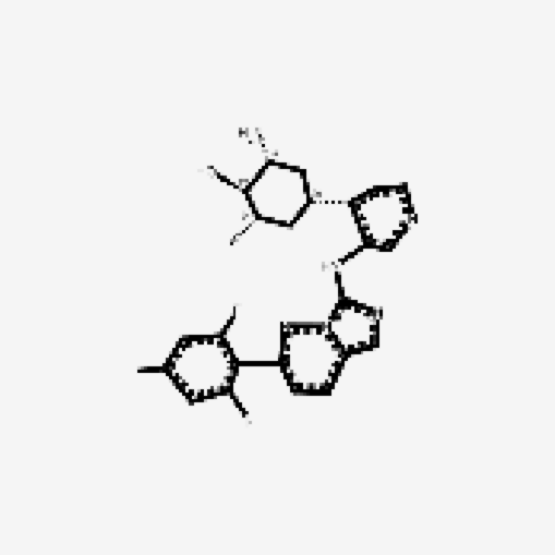 Cc1cc(F)c(-c2ccc3cnc(Nc4cnccc4[C@H]4C[C@@H](N)[C@H](O)[C@@H](C)C4)n3n2)c(F)c1